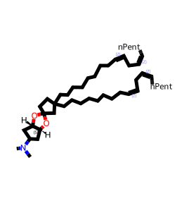 CCCCC/C=C\C/C=C\CCCCCCCCC1(CCCCCCCC/C=C\C/C=C\CCCCC)CCC2(C1)O[C@H]1CC(N(C)C)C[C@@H]1O2